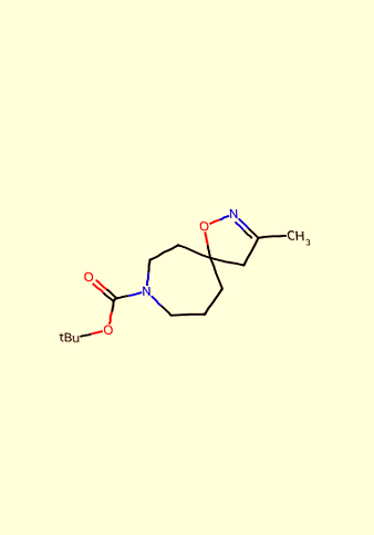 CC1=NOC2(CCCN(C(=O)OC(C)(C)C)CC2)C1